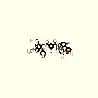 CCc1nc2c(cnn2CC)c(NC2CCOCC2)c1CNC(=O)c1cc(C)cc(C(=O)NCC2(CN3CCN[C@@H](C)C3)C=CC(F)=C(c3ccccc3)C2)c1